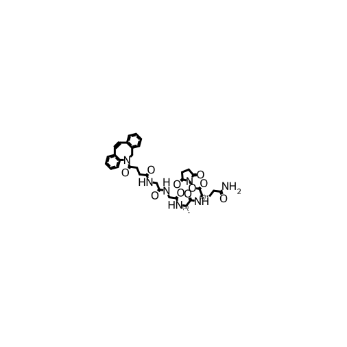 C[C@H](NC(=O)CNC(=O)CNC(=O)CCC(=O)N1Cc2ccccc2C#Cc2ccccc21)C(=O)N[C@@H](CCC(N)=O)C(=O)ON1C(=O)CCC1=O